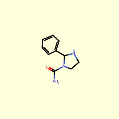 NC(=O)N1CCNC1c1ccccc1